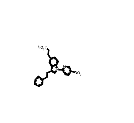 O=C(O)CCc1ccc2c(c1)c(CCc1ccccc1)cn2-c1ccc([N+](=O)[O-])cn1